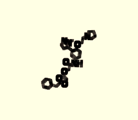 Cn1nccc1-c1cc(NC(=O)COC2=COC(Cc3ccccc3)O2)ccc1OCCN1CCCC1